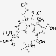 CC(C)(C)NCC(O)c1ccc(O)c(CO)c1.N[C@@H](Cc1ccc(N(CCCl)CCCl)cc1)C(=O)O